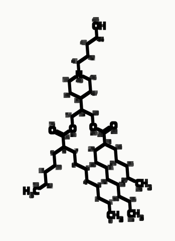 CCCCCCCCC(CCCCC)C(=O)OCC(COC(=O)C(CCCCC)CCCCCCCC)C1CCN(CCCCO)CC1